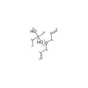 C=CCOCC=C.CCC(C)(O)O